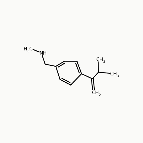 C=C(c1ccc(CNC)cc1)C(C)C